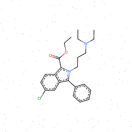 CCOC(=O)c1c2ccc(Cl)cc2c(-c2ccccc2)n1CCCN(CC)CC